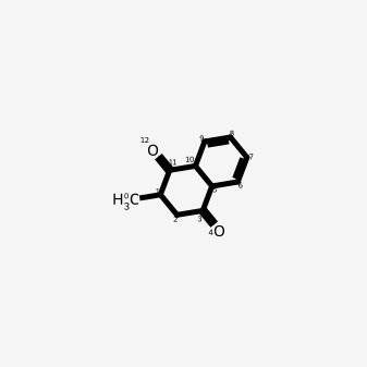 CC1CC(=O)C2C=CC=CC2C1=O